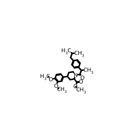 COC(=O)C1CC(c2ccc(OC)c(OC)c2)CCN1C(=O)C(C)c1ccc(CC(C)C)cc1